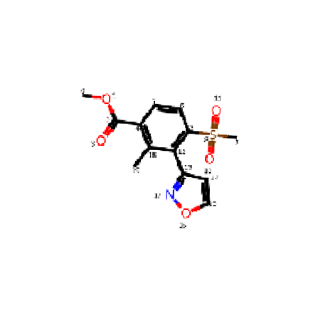 COC(=O)c1ccc(S(C)(=O)=O)c(-c2ccon2)c1C